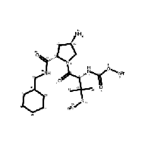 CCCOC(=O)N[C@@H](C(=O)N1C[C@H](N)C[C@H]1C(=O)NCC1CCCCC1)C(C)(C)SCCC